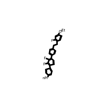 CCCc1ccc(-c2ccc(-c3ccc(CCc4ccc(OCC)cc4F)cc3)c(F)c2F)cc1